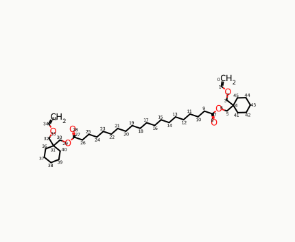 C=COCC1(COC(=O)CCCCCCCCCCCCCCCCCCC(=O)OCC2(COC=C)CCCCC2)CCCCC1